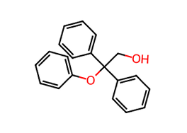 OCC(Oc1ccccc1)(c1ccccc1)c1ccccc1